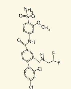 COc1cc(NC(=O)c2ccc(-c3ccc(Cl)cc3Cl)c(CNCC(F)F)c2)ccc1S(N)(=O)=O